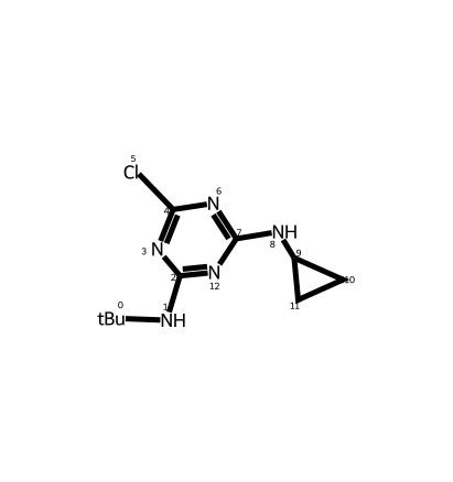 CC(C)(C)Nc1nc(Cl)nc(NC2CC2)n1